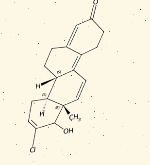 C[C@]12C=CC3=C4CCC(=O)C=C4CC[C@H]3[C@@H]1CC=C(Cl)C2O